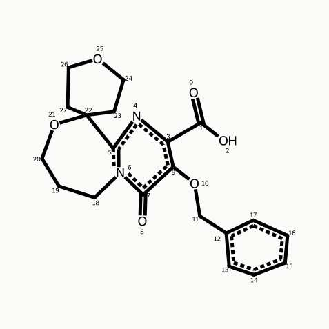 O=C(O)c1nc2n(c(=O)c1OCc1ccccc1)CCCOC21CCOCC1